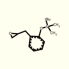 CC(C)(C)[Si](C)(C)Oc1ccccc1CC1CO1